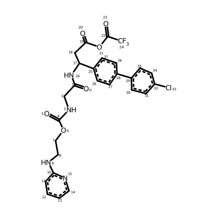 O=C(CNC(=O)OCCNc1ccccn1)NC(CC(=O)OC(=O)C(F)(F)F)c1ccc(-c2ccc(Cl)cc2)cc1